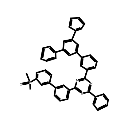 CP(C)(=O)c1cccc(-c2cccc(-c3nc(-c4ccccc4)nc(-c4cccc(-c5cc(-c6ccccc6)cc(-c6ccccc6)c5)c4)n3)c2)c1